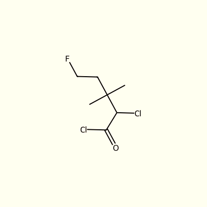 CC(C)(CCF)C(Cl)C(=O)Cl